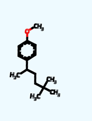 COc1ccc(C(C)CCC(C)(C)C)cc1